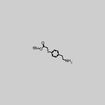 CC(C)(C)OC(=O)CSc1ccc(CCN)cc1